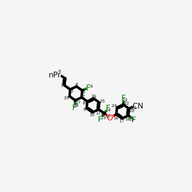 CCCC=CC1CC(F)C(c2ccc(C(F)(F)Oc3cc(F)c(C#N)c(F)c3)cc2)C(F)C1